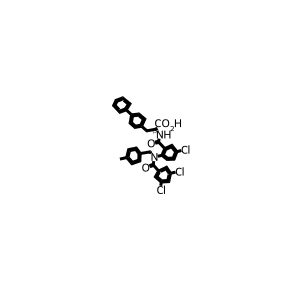 Cc1ccc(CN(C(=O)c2cc(Cl)cc(Cl)c2)c2ccc(Cl)cc2C(=O)N[C@@H](Cc2ccc(-c3ccccc3)cc2)C(=O)O)cc1